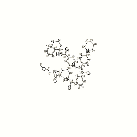 COCCNC(=O)[C@H]1CCCN(C(=O)c2cccc(C(=O)Nc3ccc(N4CCCCC4)cc3-c3cc(C(=O)N[C@H]4CCCc5ccccc54)ccn3)c2)C1